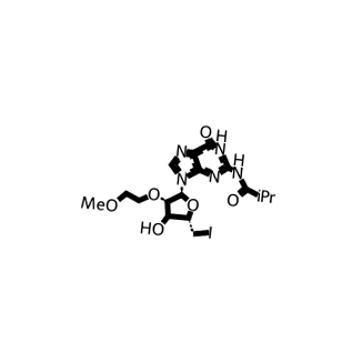 COCCO[C@H]1C(O)[C@@H](CI)O[C@H]1n1cnc2c(=O)[nH]c(NC(=O)C(C)C)nc21